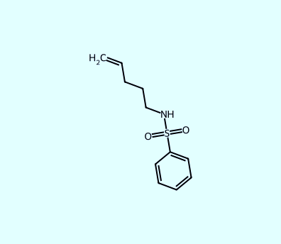 C=CCCCNS(=O)(=O)c1ccccc1